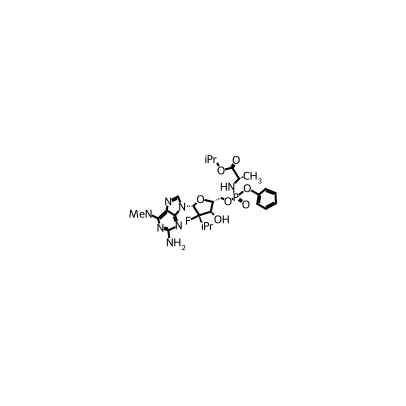 CNc1nc(N)nc2c1ncn2[C@@H]1O[C@H](CO[P@@](=O)(N[C@@H](C)C(=O)OC(C)C)Oc2ccccc2)[C@@H](O)[C@@]1(F)C(C)C